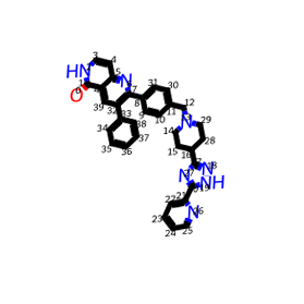 O=c1[nH]ccc2nc(-c3ccc(CN4CCC(c5n[nH]c(-c6ccccn6)n5)CC4)cc3)c(-c3ccccc3)cc12